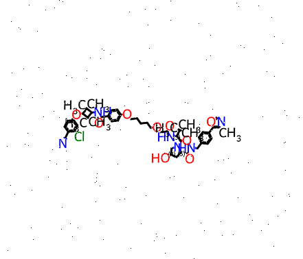 Cc1ncoc1-c1ccc(CNC(=O)[C@@H]2C[C@@H](O)CN2C(=O)[C@@H](NC(=O)COCCCCCOc2ccc(C(=O)NC3C(C)(C)C(Oc4ccc(C#N)c(Cl)c4)C3(C)C)cc2)C(C)(C)C)cc1